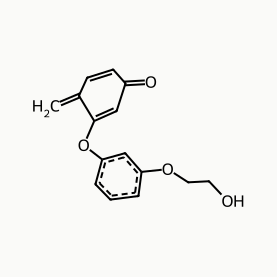 C=C1C=CC(=O)C=C1Oc1cccc(OCCO)c1